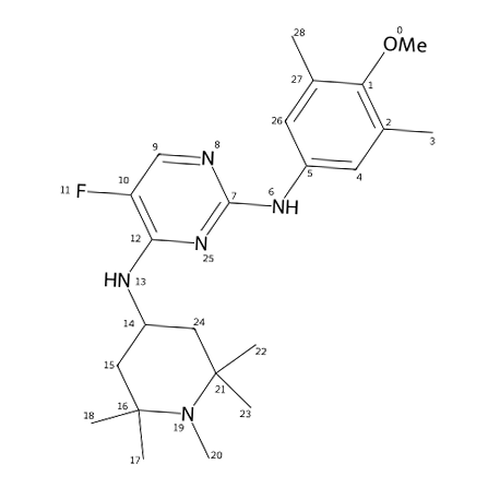 COc1c(C)cc(Nc2ncc(F)c(NC3CC(C)(C)N(C)C(C)(C)C3)n2)cc1C